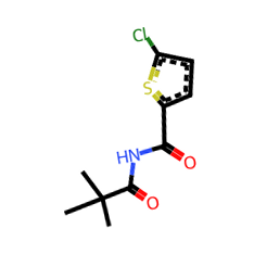 CC(C)(C)C(=O)NC(=O)c1ccc(Cl)s1